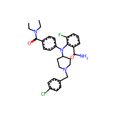 CCN(CC)C(=O)c1ccc(N(c2c(F)cccc2C(N)=O)C2CCN(Cc3ccc(Cl)cc3)CC2)cc1